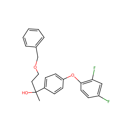 CC(O)(CCOCc1ccccc1)c1ccc(Oc2ccc(F)cc2F)cc1